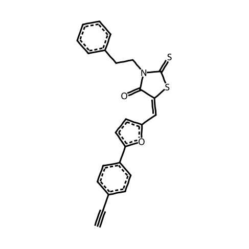 C#Cc1ccc(-c2ccc(/C=C3/SC(=S)N(CCc4ccccc4)C3=O)o2)cc1